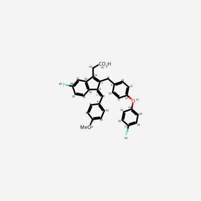 COc1ccc(/C=C2/C(Cc3ccc(Oc4ccc(F)cc4)cc3)=C(CC(=O)O)c3cc(F)ccc32)cc1